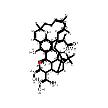 COC(=O)/C(C)=C\CC12OC(C)(C)C3CC(C1=O)C(C(/C(N)=N/O)/C(N)=N\O)C1C(=O)c4c(O)c5c(c(CC=C(C)C)c4OC132)OC(C)(CCC=C(C)C)C=C5